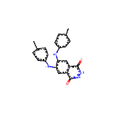 Cc1ccc(Nc2cc3c(=O)[nH][nH]c(=O)c3cc2Nc2ccc(C)cc2)cc1